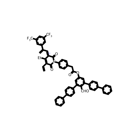 C=CC1=C(CC)/C(=C\C(=C)c2cc(C(F)(F)F)cc(C(F)(F)F)c2)C(=O)N(c2ccc(CC(=O)Oc3cc(-c4ccc(-c5ccccc5)cc4)c(C=O)c(-c4ccc(-c5ccccc5)cc4)c3)cc2)C1=O